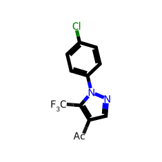 CC(=O)c1cnn(-c2ccc(Cl)cc2)c1C(F)(F)F